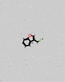 FCc1coc2ccccc12